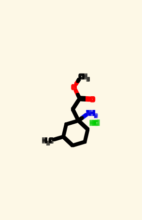 COC(=O)CC1(N)CCCC(C)C1.Cl